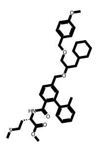 COC(=O)[C@H](CCSC)NC(=O)c1ccc(COC(COCc2ccc(OC)cc2)CC2CCCCC2)cc1-c1ccccc1C